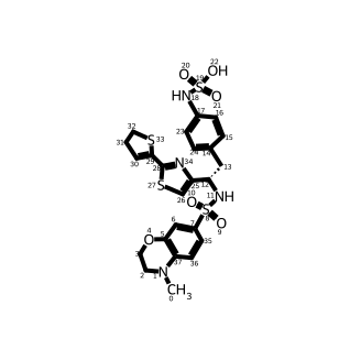 CN1CCOc2cc(S(=O)(=O)N[C@@H](Cc3ccc(NS(=O)(=O)O)cc3)c3csc(C4=CCCS4)n3)ccc21